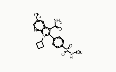 CC(C)(C)NS(=O)(=O)c1ccc(-c2c(C(N)=O)c3cc(C(F)(F)F)cnc3n2C2CCC2)cc1